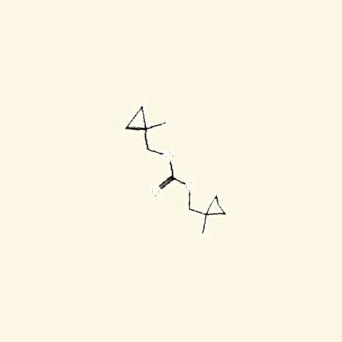 CC1(COC(=O)OCC2(C)CC2)CC1